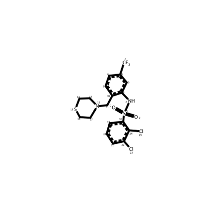 O=S(=O)(Nc1cc(C(F)(F)F)ccc1CN1CCSCC1)c1cccc(Cl)c1Cl